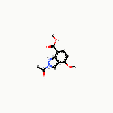 COC(=O)c1ccc(OC)c2cn(C(C)=O)nc12